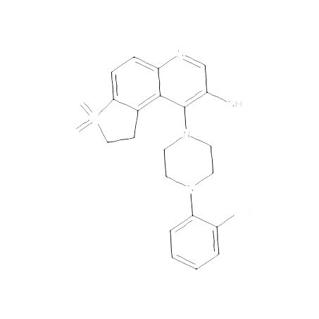 Nc1cnc2ccc3c(c2c1N1CCN(c2ccccc2O)CC1)CCS3(=O)=O